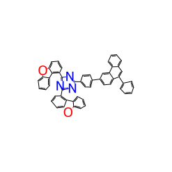 c1ccc(-c2cc3ccccc3c3cc(-c4ccc(-c5nc(-c6cccc7oc8ccccc8c67)nc(-c6cccc7oc8ccccc8c67)n5)cc4)ccc23)cc1